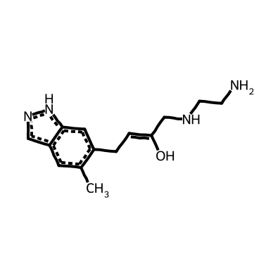 Cc1cc2cn[nH]c2cc1CC=C(O)CNCCN